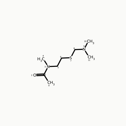 CC(=O)N(C)CCSCN(C)C